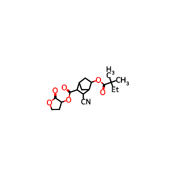 CCC(C)(C)C(=O)OC1CC2CC1C(C#N)C2C(=O)OC1CCOC1=O